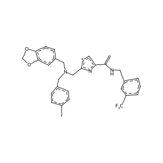 C=C(NCc1cccc(C(F)(F)F)c1)c1csc(CN(Cc2ccc(C)cc2)Cc2ccc3c(c2)OCO3)n1